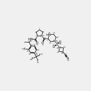 CC(NC(=O)[C@H]1CCCN1C(=O)[C@@H]1CN(S(=O)(=O)N2CC(C#N)C2)CCN1)c1ccc(C(F)(F)F)cc1F